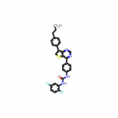 O=C(O)CCc1ccc(-c2csc3c(-c4ccc(NC(=O)Nc5cc(F)ccc5F)cc4)ncnc23)cc1